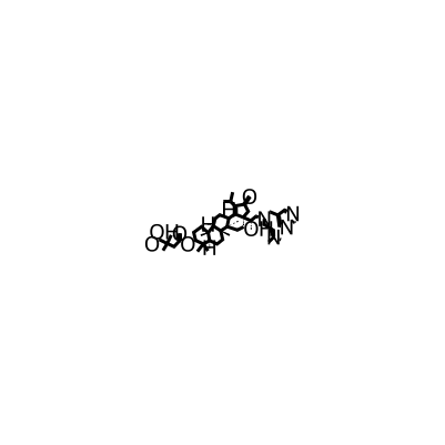 CC(C)C1=C2[C@H]3CC[C@@H]4[C@@]5(C)CC[C@@H](OC(=O)CC(C)(C)C(=O)O)C(C)(C)[C@@H]5CC[C@@]4(C)[C@]3(C)CC[C@@]2([C@@H](O)CN(CCN(C)C)Cc2cncnc2)CC1=O